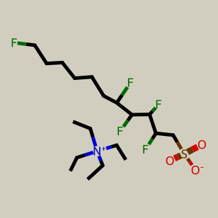 CC[N+](CC)(CC)CC.O=S(=O)([O-])CC(F)C(F)C(F)C(F)CCCCCCF